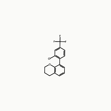 FC(F)(F)c1ccc(-c2cccc3c2OCCC3)c(Cl)c1